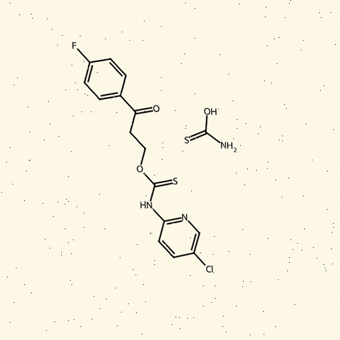 NC(O)=S.O=C(CCOC(=S)Nc1ccc(Cl)cn1)c1ccc(F)cc1